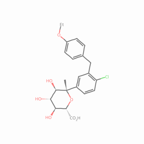 CCOc1ccc(Cc2cc([C@]3(C)O[C@H](C(=O)O)[C@@H](O)[C@H](O)[C@H]3O)ccc2Cl)cc1